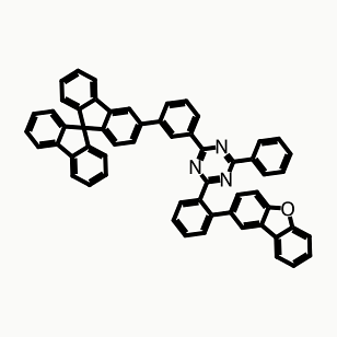 c1ccc(-c2nc(-c3cccc(-c4ccc5c(c4)-c4ccccc4C54c5ccccc5-c5ccccc54)c3)nc(-c3ccccc3-c3ccc4oc5ccccc5c4c3)n2)cc1